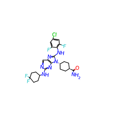 NC(=O)[C@H]1CC[C@H](n2c(Nc3c(F)cc(Cl)cc3F)nc3cnc(NC4CCC(F)(F)CC4)nc32)CC1